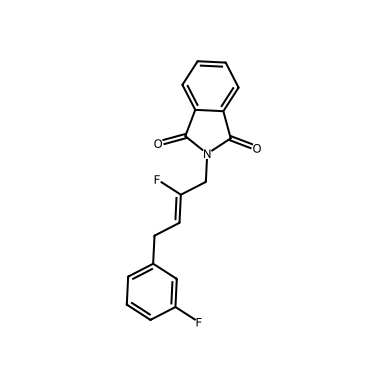 O=C1c2ccccc2C(=O)N1CC(F)=CCc1cccc(F)c1